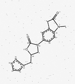 CN1C(=O)Cc2cc(N3CC(Cn4ccnn4)OC3=O)ccc21